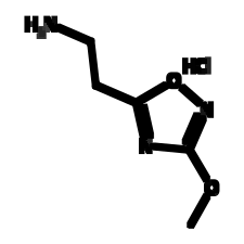 COc1noc(CCN)n1.Cl